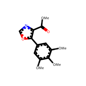 COC(=O)c1ncoc1-c1cc(OC)c(OC)c(OC)c1